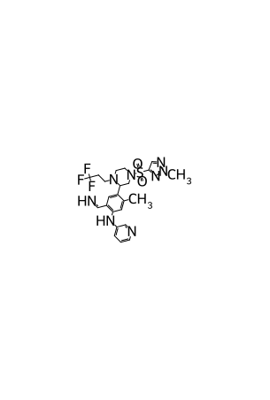 Cc1cc(Nc2cccnc2)c(C=N)cc1C1CN(S(=O)(=O)c2cnn(C)n2)CCN1CCC(F)(F)F